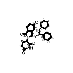 C[C@@H](N[C@@H]1CCCC[C@H]1Oc1ccc2c(c1)CN(C1CCC(=O)NC1=O)C2=O)c1ccccc1